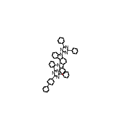 c1ccc(-c2ccc(-c3nc(-c4ccccc4)nc(-c4ccccc4-n4c5ccccc5c5ccc6c(c7ccccc7n6-c6nc(-c7ccccc7)nc(-c7ccccc7)n6)c54)n3)cc2)cc1